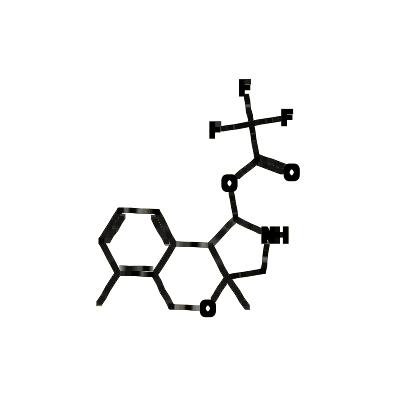 Cc1cccc2c1COC1(C)CNC(OC(=O)C(F)(F)F)C21